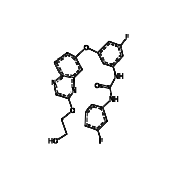 O=C(Nc1cccc(F)c1)Nc1cc(F)cc(Oc2ccc3ncc(OCCO)nc3c2)c1